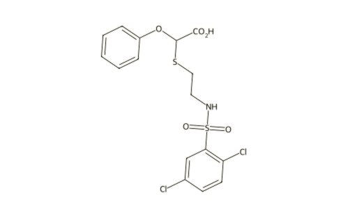 O=C(O)C(Oc1ccccc1)SCCNS(=O)(=O)c1cc(Cl)ccc1Cl